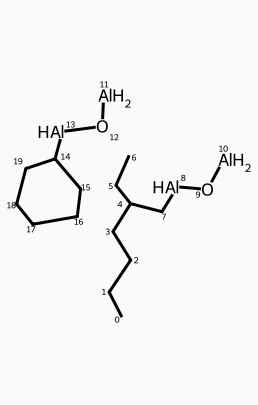 CCCCC(CC)[CH2][AlH][O][AlH2].[AlH2][O][AlH][CH]1CCCCC1